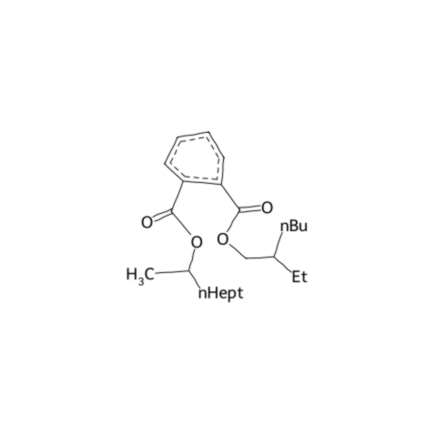 CCCCCCCC(C)OC(=O)c1ccccc1C(=O)OCC(CC)CCCC